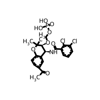 CC(=O)c1ccc2c(c1)[C@H](NC(=O)c1cccc(Cl)c1Cl)[C@H](OCOP(=O)(O)O)C(C)(C)O2